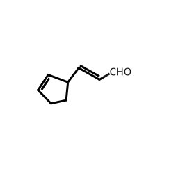 O=CC=CC1C=CCC1